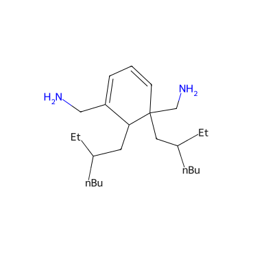 CCCCC(CC)CC1C(CN)=CC=CC1(CN)CC(CC)CCCC